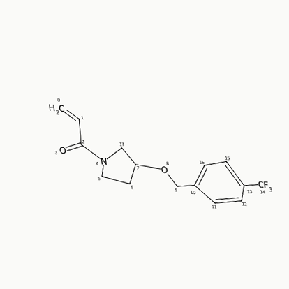 C=CC(=O)N1CCC(OCc2ccc(C(F)(F)F)cc2)C1